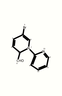 O=CC1C=CC(Br)=CN1c1ccccn1